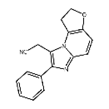 N#CCc1c(-c2ccccc2)nc2ccc3c(n12)CCO3